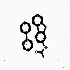 CC(=O)Nc1ccc2c(c1)Cc1ccccc1-2.c1ccc(-c2ccccc2)cc1